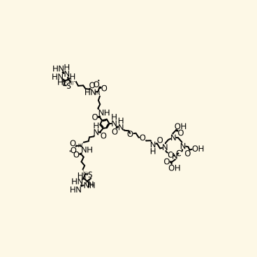 COC(=O)[C@H](CCCCNC(=O)c1cc(NC(=O)NCCOCCOCCNC(=O)CN2CCN(CC(=O)O)CCN(CC(=O)O)CCN(CC(=O)O)CC2)cc(C(=O)NCCCC[C@H](NC(=O)CCCC[C@@H]2SC[C@@H]3NC(=N)N[C@@H]32)C(=O)OC)c1)NC(=O)CCCC[C@@H]1SC[C@@H]2NC(=N)N[C@@H]21